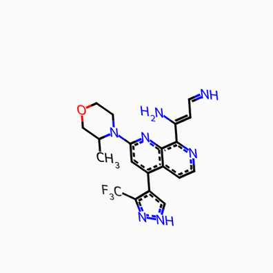 CC1COCCN1c1cc(-c2c[nH]nc2C(F)(F)F)c2ccnc(/C(N)=C/C=N)c2n1